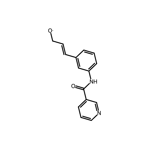 [O]C/C=C/c1cccc(NC(=O)c2cccnc2)c1